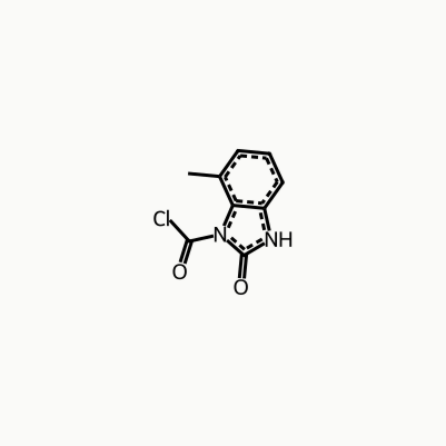 Cc1cccc2[nH]c(=O)n(C(=O)Cl)c12